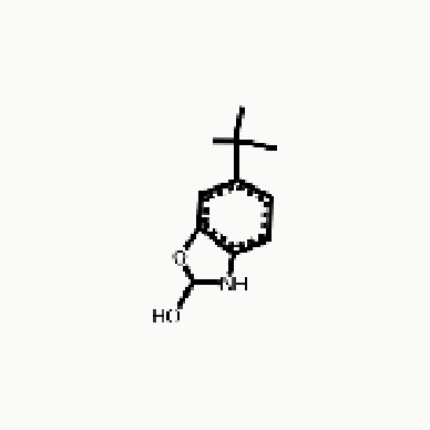 CC(C)(C)c1ccc2c(c1)OC(O)N2